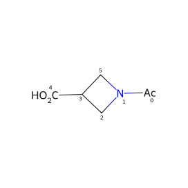 CC(=O)N1CC(C(=O)O)C1